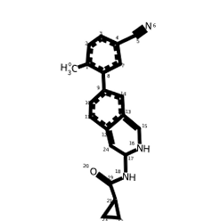 Cc1ccc(C#N)cc1-c1ccc2c(c1)=CNC(NC(=O)C1CC1)C=2